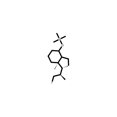 C[C@@H](CI)[C@H]1CCC2C(O[Si](C)(C)C)CCC[C@@]21C